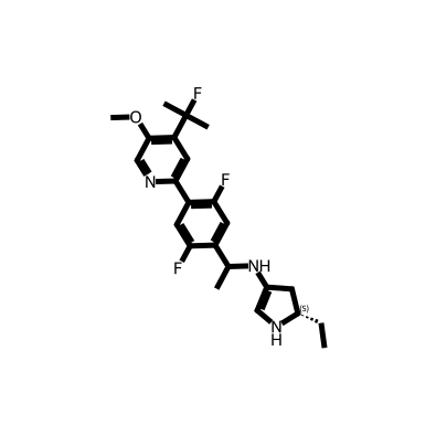 CC[C@H]1CC(NC(C)c2cc(F)c(-c3cc(C(C)(C)F)c(OC)cn3)cc2F)=CN1